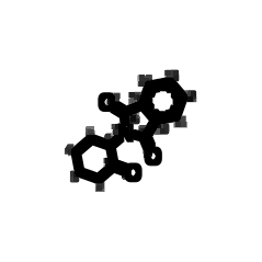 O=C1CCCCC1N1C(=O)c2ccccc2C1=O